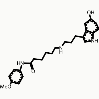 COc1ccc(NC(=O)CCCCCNCCCc2c[nH]c3ccc(O)cc23)cc1